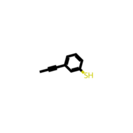 CC#Cc1cccc(S)c1